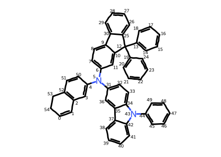 C1=Cc2cc(N(c3ccc4c(c3)C(c3ccccc3)(c3ccccc3)c3ccccc3-4)c3ccc4c(c3)c3ccccc3n4-c3ccccc3)ccc2CC1